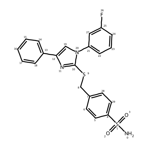 NS(=O)(=O)c1ccc(CSc2nc(-c3ccccc3)cn2-c2cccc(F)c2)cc1